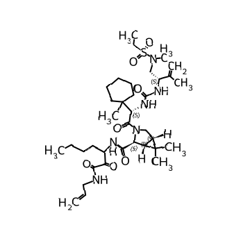 C=CCNC(=O)C(=O)C(CCCC)NC(=O)[C@@H]1[C@@H]2[C@H](CN1C(=O)[C@@H](NC(=O)N[C@H](CN(C)S(=O)(=O)CC)C(=C)C)C1(C)CCCCC1)C2(C)C